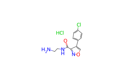 Cl.NCCNC(=O)c1nocc1-c1ccc(Cl)cc1